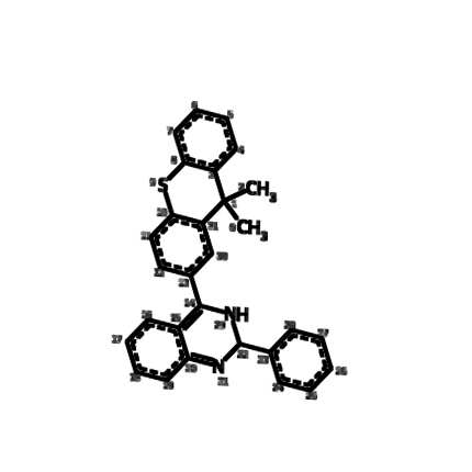 CC1(C)c2ccccc2Sc2ccc(C3=c4ccccc4=NC(c4ccccc4)N3)cc21